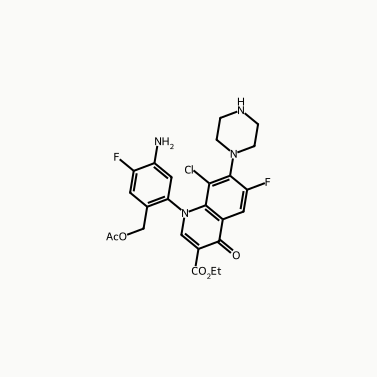 CCOC(=O)c1cn(-c2cc(N)c(F)cc2COC(C)=O)c2c(Cl)c(N3CCNCC3)c(F)cc2c1=O